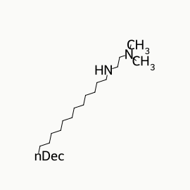 CCCCCCCCCCCCCCCCCCCCCCNCCN(C)C